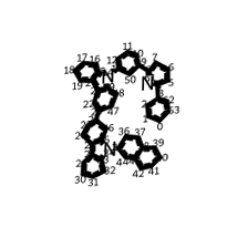 c1ccc(-c2cccc(-c3cccc(-n4c5ccccc5c5cc(-c6ccc7c8ccccc8n(-c8ccc9ccccc9c8)c7c6)ccc54)c3)n2)cc1